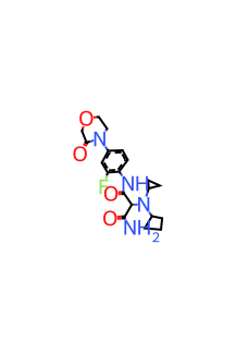 NC(=O)[C@@H](C(=O)Nc1ccc(N2CCOCC2=O)cc1F)N(C1CCC1)C1CC1